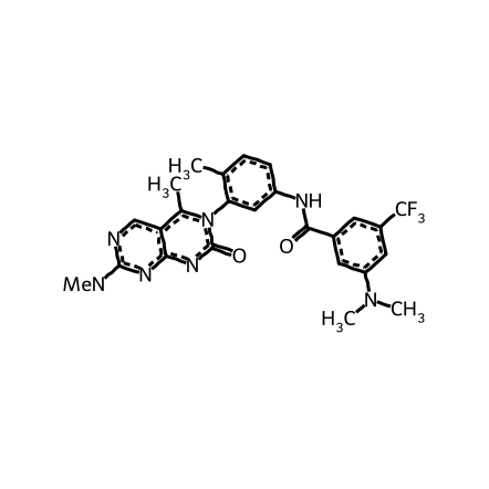 CNc1ncc2c(C)n(-c3cc(NC(=O)c4cc(N(C)C)cc(C(F)(F)F)c4)ccc3C)c(=O)nc2n1